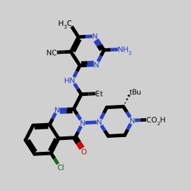 CCC(Nc1nc(N)nc(C)c1C#N)c1nc2cccc(Cl)c2c(=O)n1N1CCN(C(=O)O)[C@@H](C(C)(C)C)C1